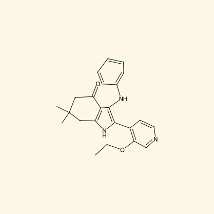 CCOc1cnccc1-c1[nH]c2c(c1Nc1ccccc1)C(=O)CC(C)(C)C2